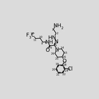 NCCN/N=C(\C(=O)NCCCC(F)(F)F)N1CCC(Oc2ccccc2Cl)CC1